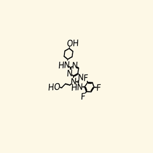 OCCCn1c(Nc2c(F)cc(F)cc2F)nc2cnc(N[C@H]3CC[C@H](O)CC3)nc21